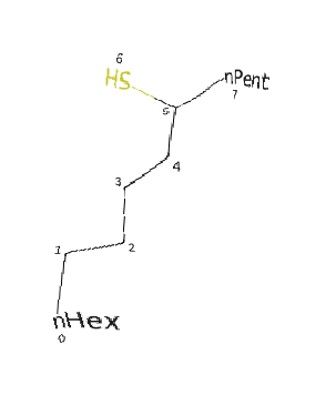 CCCCCCCCCCC(S)CCCCC